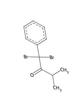 CC(C)C(=O)C(Br)(Br)c1ccccc1